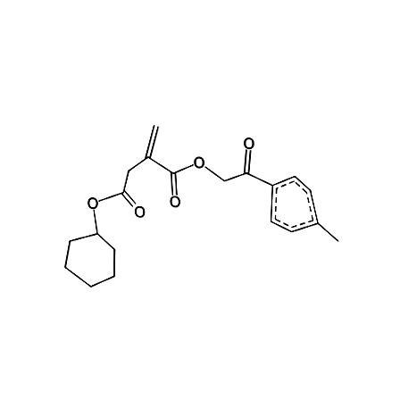 C=C(CC(=O)OC1CCCCC1)C(=O)OCC(=O)c1ccc(C)cc1